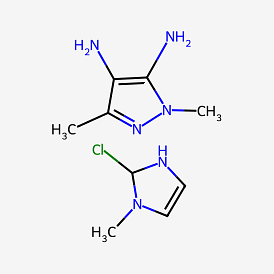 CN1C=CNC1Cl.Cc1nn(C)c(N)c1N